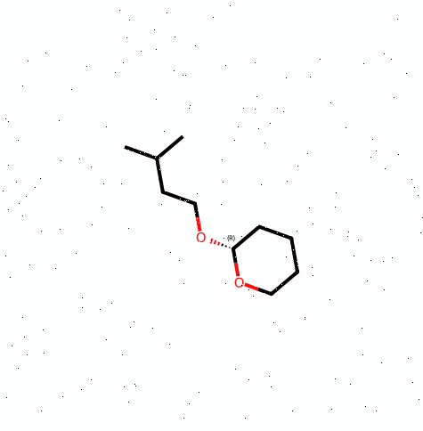 CC(C)CCO[C@@H]1CCCCO1